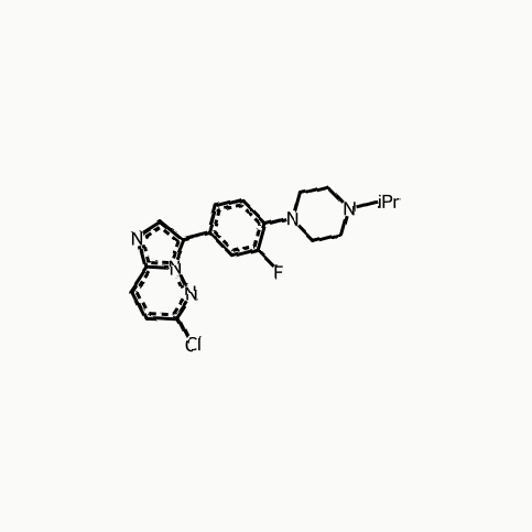 CC(C)N1CCN(c2ccc(-c3cnc4ccc(Cl)nn34)cc2F)CC1